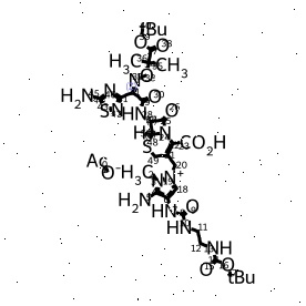 CC(=O)[O-].Cn1c(N)c(NC(=O)NCCNC(=O)OC(C)(C)C)c[n+]1CC1=C(C(=O)O)N2C(=O)[C@@H](NC(=O)/C(=N\OC(C)(C)C(=O)OC(C)(C)C)c3nsc(N)n3)[C@H]2SC1